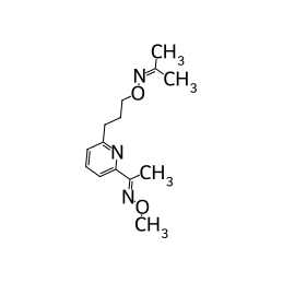 CO/N=C(\C)c1cccc(CCCON=C(C)C)n1